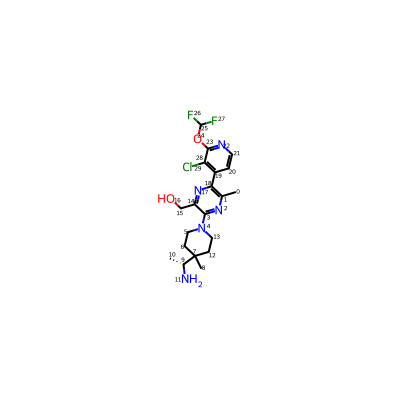 Cc1nc(N2CCC(C)([C@@H](C)N)CC2)c(CO)nc1-c1ccnc(OC(F)F)c1Cl